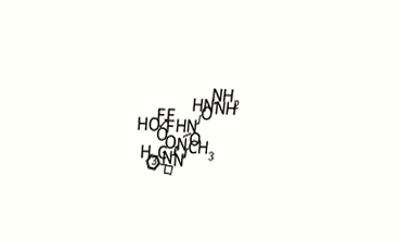 Cc1cnc(N(C)C2(c3ccccc3)CCC2)c(=O)n1CC(=O)NCCONC(=N)N.O=C(O)C(F)(F)F